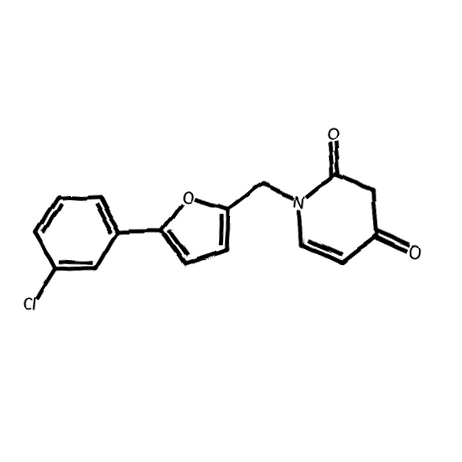 O=C1C=CN(Cc2ccc(-c3cccc(Cl)c3)o2)C(=O)C1